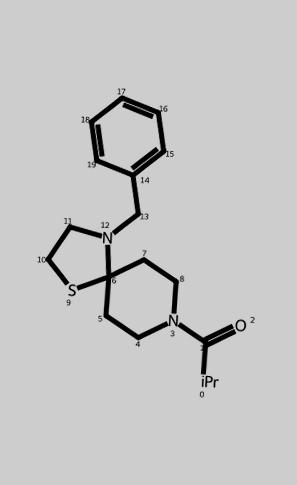 CC(C)C(=O)N1CCC2(CC1)SCCN2Cc1ccccc1